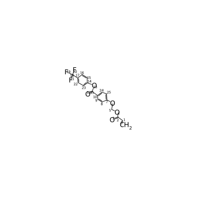 C=CC(=O)OCOc1ccc(C(=O)Oc2ccc(C(F)(F)F)cc2)cc1